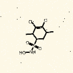 CC1CC(S(=O)(=O)NO)C(C)C(Cl)=C1Cl